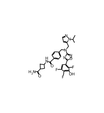 CC(C)n1nccc1CN(Cc1ccc(C(=O)NC2CC(C(N)=O)C2)cc1)c1noc(-c2cc(F)c(F)c(O)c2F)n1